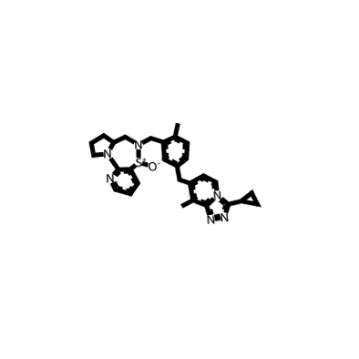 Cc1ccc(Cc2ccn3c(C4CC4)nnc3c2C)cc1CN1CC2CCCN2c2ncccc2[S+]1[O-]